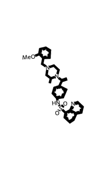 C=C(c1ccc(NS(=O)(=O)c2cccc3cccnc23)cc1)N1CCN(Cc2ccccc2OC)CC1C